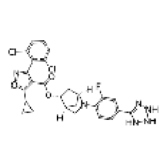 O=C(O[C@@H]1C[C@@H]2C[C@H]1CN2c1ccc(C2=NNNN2)cc1F)c1c(-c2c(Cl)cccc2Cl)noc1C1CC1